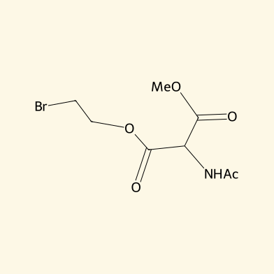 COC(=O)C(NC(C)=O)C(=O)OCCBr